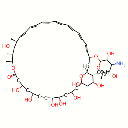 C[C@@H]1[C@H](O)[C@@H](C)/C=C/C=C/C=C/C=C/C=C/C=C/C=C/[C@H](OC2O[C@H](C)[C@@H](O)[C@H](N)[C@H]2O)C[C@@H]2O[C@](O)(CC(O)C[C@@H](O)C(O)CCC(O)C[C@@H](O)CC(=O)O[C@H]1C)C[C@H](O)[C@H]2C(=O)O